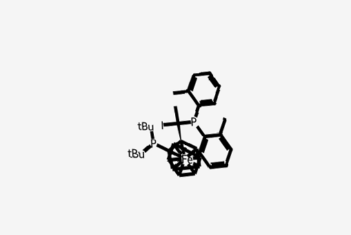 Cc1ccccc1P(c1ccccc1C)C(C)(I)[C@]12[CH]3[CH]4[CH]5[C]1(P(C(C)(C)C)C(C)(C)C)[Fe]45321678[CH]2[CH]1[CH]6[CH]7[CH]28